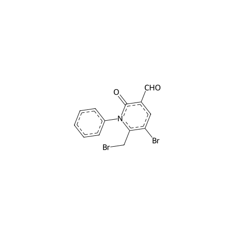 O=Cc1cc(Br)c(CBr)n(-c2ccccc2)c1=O